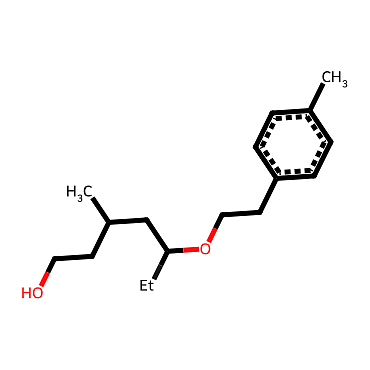 CCC(CC(C)CCO)OCCc1ccc(C)cc1